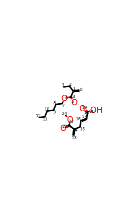 C=C(CC)C(=O)OCCCCCC.C=C(CC=CC(=O)O)C(=O)OC